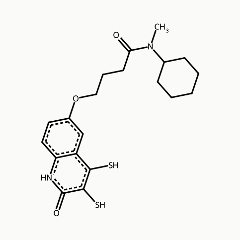 CN(C(=O)CCCOc1ccc2[nH]c(=O)c(S)c(S)c2c1)C1CCCCC1